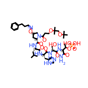 CC(C)C[C@H](NC(=O)[C@@H]1C[C@@H](O/N=C\CCc2ccccc2)CN1C(=O)CCOC(C)(C)COC(C)(C)C)C(=O)N[C@@H](Cc1cnc[nH]1)C(=O)N[C@@H](CO)C(=O)N[C@H](C(N)=O)C(C)OP(=O)(O)O